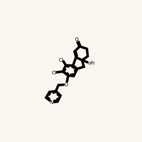 CCCC12CCC(=O)C=C1c1c(cc(OCc3ccncc3)c(Cl)c1Cl)C2